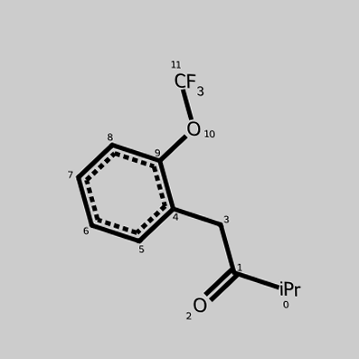 CC(C)C(=O)Cc1ccccc1OC(F)(F)F